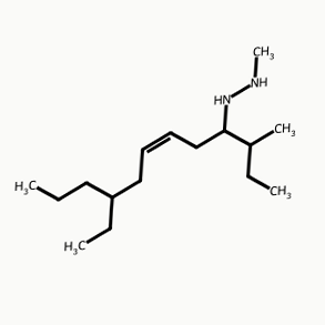 CCCC(CC)C/C=C\CC(NNC)C(C)CC